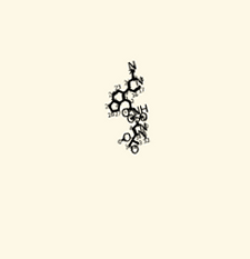 COC1(c2cc(S(=O)(=O)NC(=O)Cc3c(-c4ccnc(C#N)c4)ccc4c3CCC4)nn2C)COC1